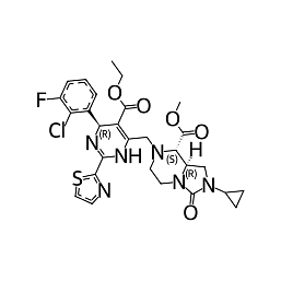 CCOC(=O)C1=C(CN2CCN3C(=O)N(C4CC4)C[C@@H]3[C@H]2C(=O)OC)NC(c2nccs2)=N[C@H]1c1cccc(F)c1Cl